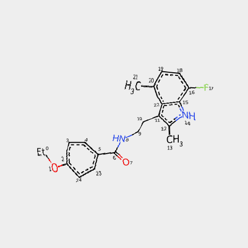 CCOc1ccc(C(=O)NCCc2c(C)[nH]c3c(F)ccc(C)c23)cc1